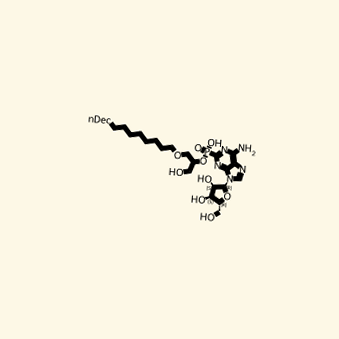 CCCCCCCCCCCCCCCCCCOCC(CO)OP(=O)(O)c1nc(N)c2ncn([C@@H]3O[C@H](CO)[C@@H](O)[C@@H]3O)c2n1